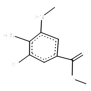 CNc1cc(C(=O)OC)cc(Br)c1N